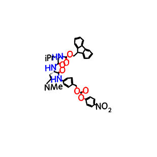 CNCCC[C@H](NC(=O)[C@@H](NC(=O)OCC1c2ccccc2-c2ccccc21)C(C)C)C(=O)Nc1ccc(COC(=O)Oc2ccc([N+](=O)[O-])cc2)cc1